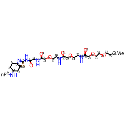 CCCN[C@H]1CCc2nc(NC(=O)CNC(=O)COCCNC(=O)COCCNC(=O)COCCOCCOC)sc2C1